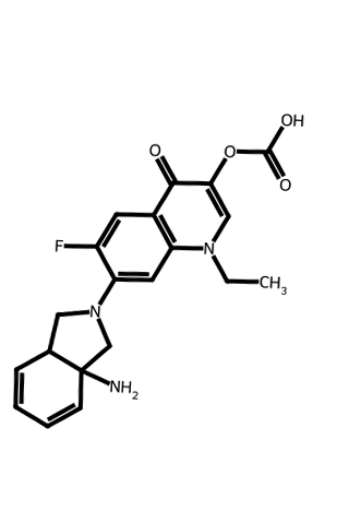 CCn1cc(OC(=O)O)c(=O)c2cc(F)c(N3CC4C=CC=CC4(N)C3)cc21